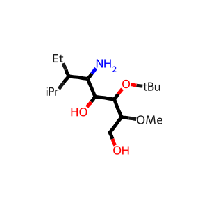 CCC(C(C)C)C(N)C(O)C(OC(C)(C)C)C(CO)OC